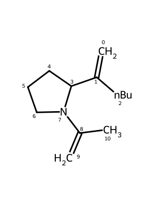 C=C(CCCC)C1CCCN1C(=C)C